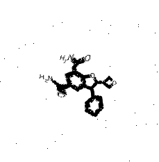 NC(=O)c1cc(C(N)=O)c2c(c1)C(c1ccccc1)C(C1COC1)O2